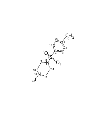 Cc1ccc(S(=O)(=O)N2CCN(I)CC2)cc1